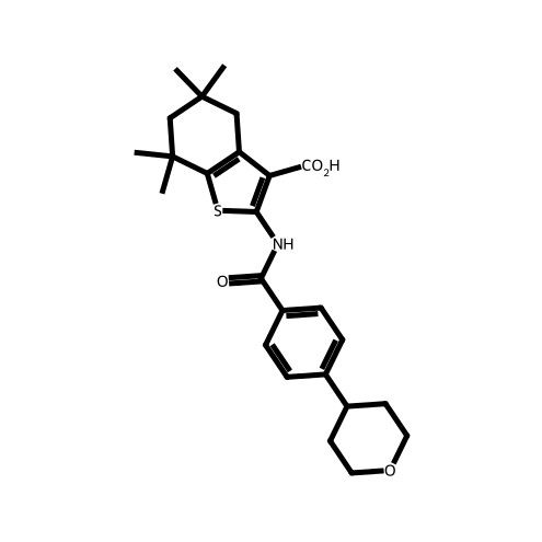 CC1(C)Cc2c(sc(NC(=O)c3ccc(C4CCOCC4)cc3)c2C(=O)O)C(C)(C)C1